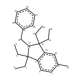 CCC1(CC)c2ccc(C)cc2C(CC)(CC)N1Cc1ccccc1